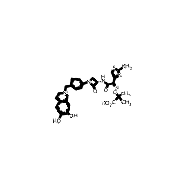 CC(C)(O/N=C(\C(=O)N[C@H]1CN(c2ccc(C[n+]3ccc4cc(O)c(O)cc4c3)cc2)C1=O)c1csc(N)n1)C(=O)O